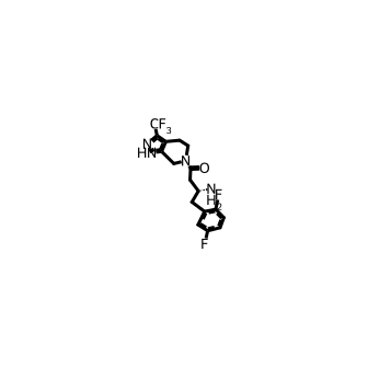 N[C@@H](CC(=O)N1CCc2c(C(F)(F)F)n[nH]c2C1)Cc1cc(F)ccc1F